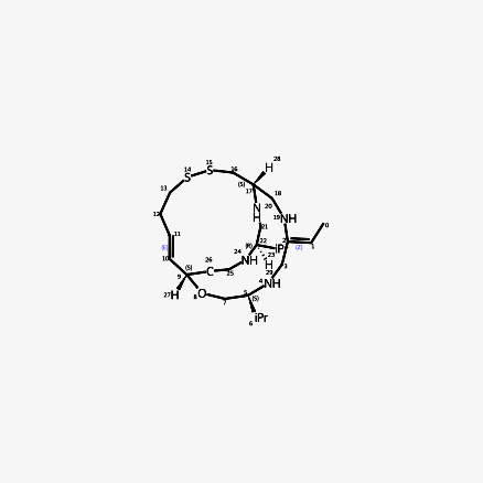 C/C=C1/CN[C@@H](C(C)C)CO[C@@H]2/C=C/CCSSC[C@H](CN1)NC[C@@H](C(C)C)NCC2